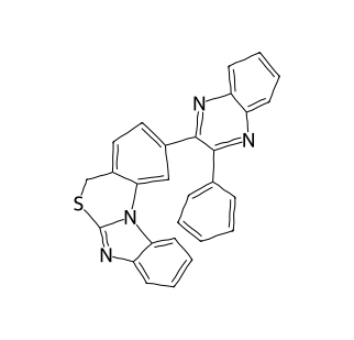 c1ccc(-c2nc3ccccc3nc2-c2ccc3c(c2)-n2c(nc4ccccc42)SC3)cc1